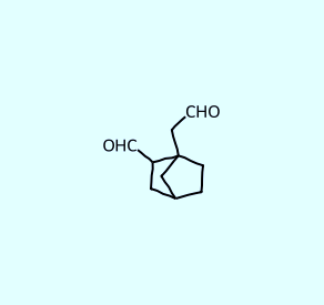 O=CCC12CCC(CC1C=O)C2